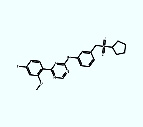 COc1cc(F)ccc1-c1ncnc(Nc2cccc(CS(=O)(=O)C3CCCC3)c2)n1